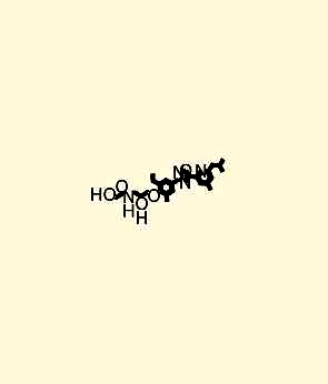 CCc1cc(-c2noc(-c3cc(C)cc(CC(C)C)n3)n2)cc(C)c1OC[C@@H](O)CNC(=O)CO